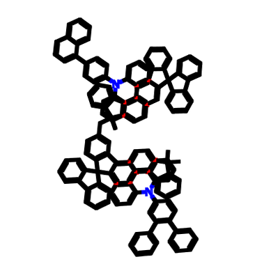 CC1(C)c2ccccc2-c2c(-c3ccccc3N(c3ccc(-c4ccccc4)c(-c4ccccc4)c3)c3ccccc3-c3ccc4c(c3)-c3cc(CC5(C)c6ccccc6-c6c(-c7ccccc7N(c7ccc(-c8cccc9ccccc89)cc7)c7ccccc7-c7ccc8c(c7)-c7ccccc7C87c8ccccc8-c8ccccc87)cccc65)ccc3C43c4ccccc4-c4ccccc43)cccc21